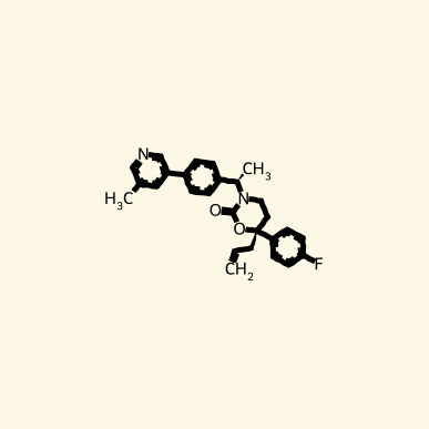 C=CC[C@]1(c2ccc(F)cc2)CCN([C@@H](C)c2ccc(-c3cncc(C)c3)cc2)C(=O)O1